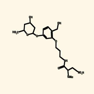 CNC(CS(=O)(=O)O)C(=O)NCCCOc1cc(OC2CC(O)CC(C(=O)O)O2)ccc1CO